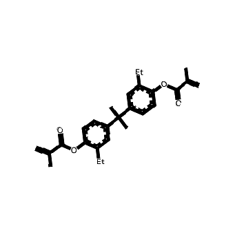 C=C(C)C(=O)Oc1ccc(C(C)(C)c2ccc(OC(=O)C(=C)C)c(CC)c2)cc1CC